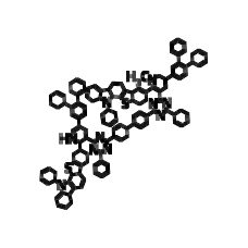 CN1CC(c2ccc(C3C=CC=CC3)c(-c3ccccc3)c2)=CC(c2nc(-c3ccc(C4C=CC(c5nc(C6=CC(c7ccc(C8=CC=CCC8)c(C8C=CCCC8)c7)=CNC6C6CCC7=C(C6)SC6C8=C(C=CC76)C6CC=CC=C6N8C6C=CC=CC6)nc(-c6ccccc6)n5)=CC4)cc3)nc(C3C=CC=CC3)n2)=C1C1=CC2C3=C(SC2CC1)C1C(C=C3)C2=CC=CCC2N1C1C=CC=CC1